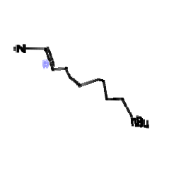 CCCCCCCCC/C=C/[N]